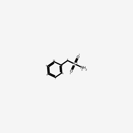 NS(=O)(=O)CC1=CC=C=C=C1